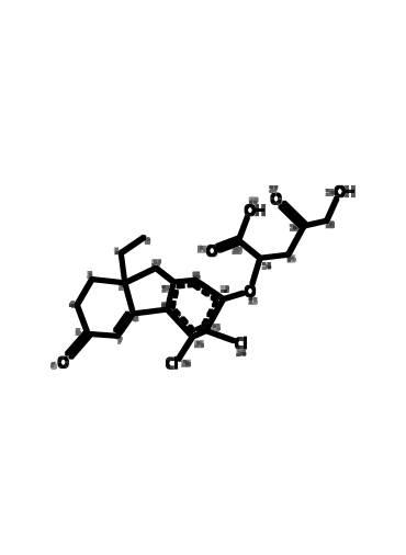 CCC12CCC(=O)C=C1c1c(cc(OC(CC(=O)CO)C(=O)O)c(Cl)c1Cl)C2